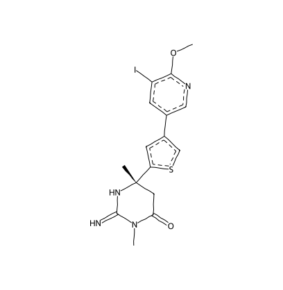 COc1ncc(-c2csc([C@]3(C)CC(=O)N(C)C(=N)N3)c2)cc1I